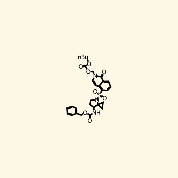 CCCCOC(=O)OCn1ccc2c(S(=O)(=O)N3CCC(NC(=O)OCc4ccccc4)C34CC4)cccc2c1=O